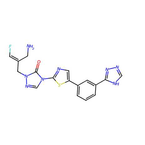 NC/C(=C\F)Cn1ncn(-c2ncc(-c3cccc(-c4nnc[nH]4)c3)s2)c1=O